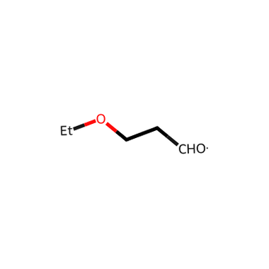 CCOCC[C]=O